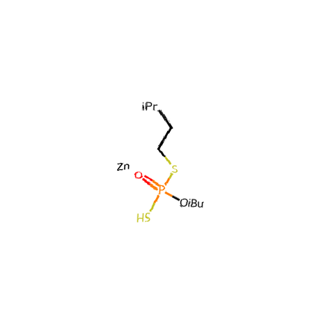 CC(C)CCSP(=O)(S)OCC(C)C.[Zn]